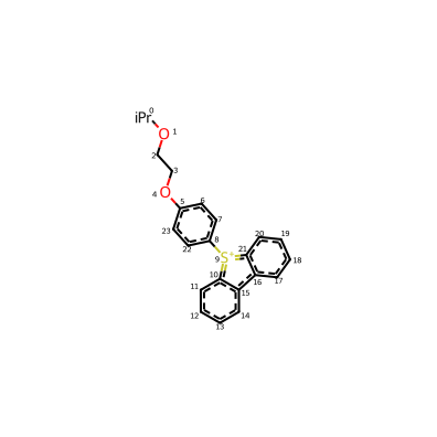 CC(C)OCCOc1ccc(-[s+]2c3ccccc3c3ccccc32)cc1